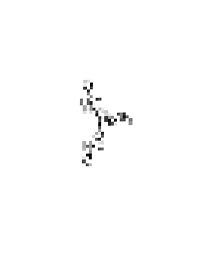 NC1CCCN(c2ccc(NC(=O)NCCc3cccnc3)cc2C#Cc2ccc(C(=O)NCCN3CCCCC3)cc2)C1